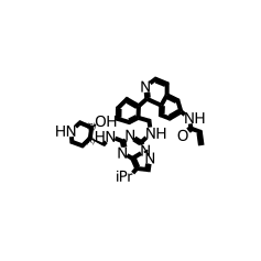 C=CC(=O)Nc1ccc2c(-c3ccccc3CNc3nc(NC[C@H]4CCNC[C@@H]4O)nc4c(C(C)C)cnn34)nccc2c1